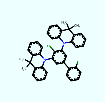 CC1(C)c2ccccc2N(c2cc(-c3ccccc3F)cc(N3c4ccccc4C(C)(C)c4ccccc43)c2Cl)c2ccccc21